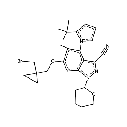 Cc1c(OCC2(CBr)CC2)cc2c(c(C#N)nn2C2CCCCO2)c1-n1cccc1C(C)(C)C